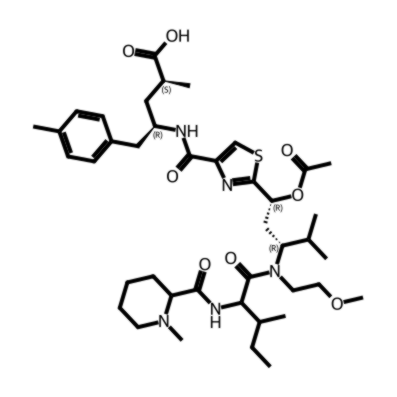 CCC(C)C(NC(=O)C1CCCCN1C)C(=O)N(CCOC)[C@H](C[C@@H](OC(C)=O)c1nc(C(=O)N[C@@H](Cc2ccc(C)cc2)C[C@H](C)C(=O)O)cs1)C(C)C